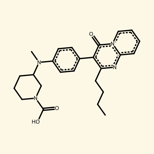 CCCCc1nc2ccccn2c(=O)c1-c1ccc(N(C)C2CCCN(C(=O)O)C2)cc1